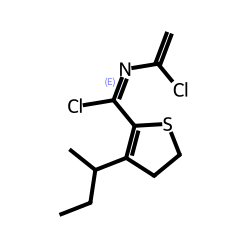 C=C(Cl)/N=C(/Cl)C1=C(C(C)CC)CCS1